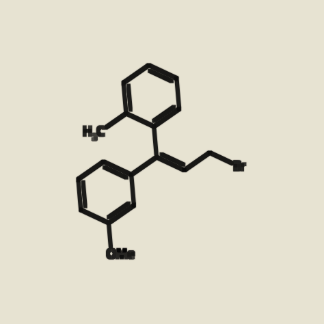 COc1cccc(C(=CCBr)c2ccccc2C)c1